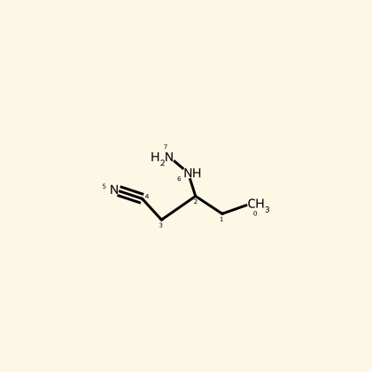 CCC(CC#N)NN